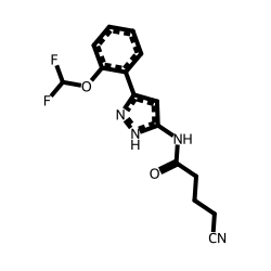 N#CCCCC(=O)Nc1cc(-c2ccccc2OC(F)F)n[nH]1